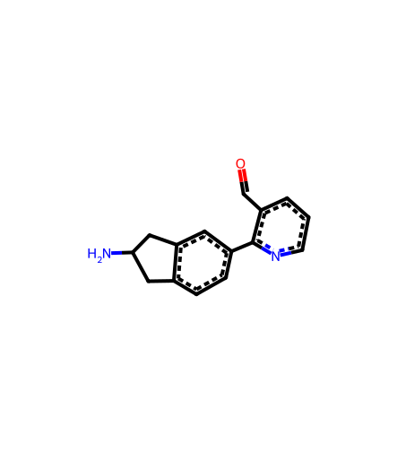 NC1Cc2ccc(-c3ncccc3C=O)cc2C1